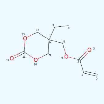 C=CC(=O)OCC1(CC)COC(=O)OC1